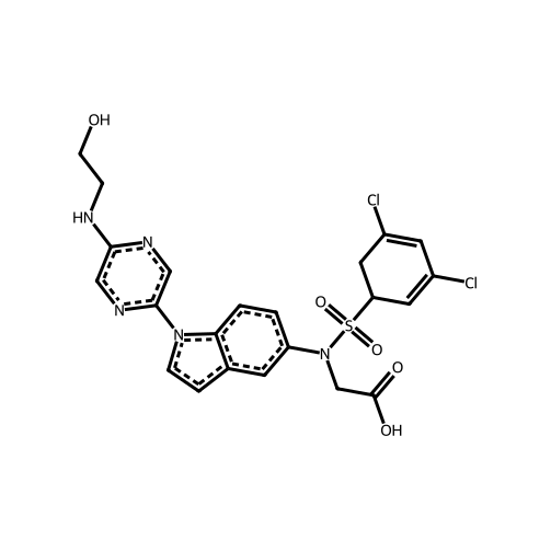 O=C(O)CN(c1ccc2c(ccn2-c2cnc(NCCO)cn2)c1)S(=O)(=O)C1C=C(Cl)C=C(Cl)C1